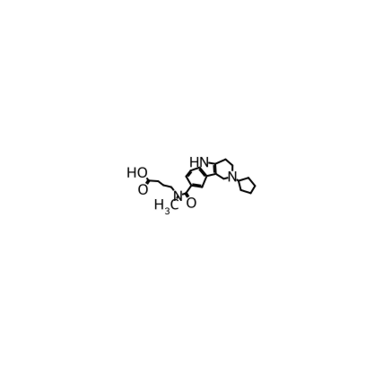 CN(CCCC(=O)O)C(=O)c1ccc2[nH]c3c(c2c1)CN(C1CCCC1)CC3